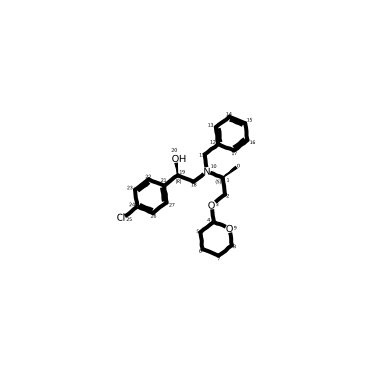 C[C@@H](COC1CCCCO1)N(Cc1ccccc1)C[C@H](O)c1ccc(Cl)cc1